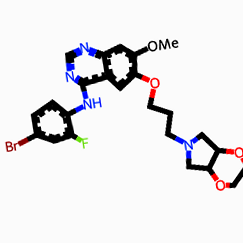 COc1cc2ncnc(Nc3ccc(Br)cc3F)c2cc1OCCCN1CC2OCCOC2C1